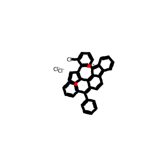 Clc1ccccc1C1=C(c2c3c(ccc2=C(c2ccccc2)c2ccccc2)=c2ccccc2=[C]3[Zr+2])CC=C1.[Cl-].[Cl-]